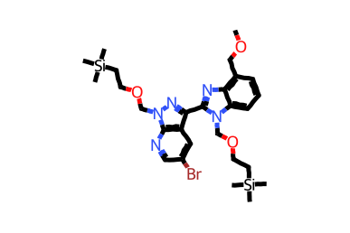 COCc1cccc2c1nc(-c1nn(COCC[Si](C)(C)C)c3ncc(Br)cc13)n2COCC[Si](C)(C)C